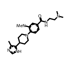 CNc1cc(C(=O)NCCN(C)C)ccc1N1CCC(c2[nH]cnc2C)CC1